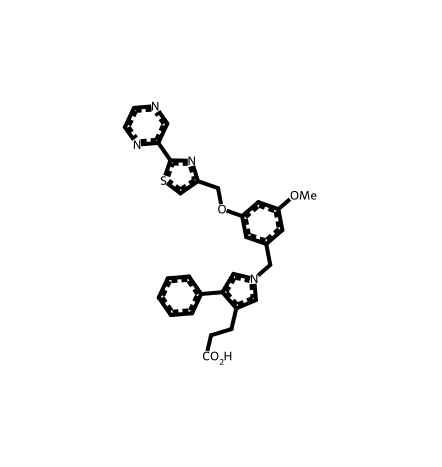 COc1cc(Cn2cc(CCC(=O)O)c(-c3ccccc3)c2)cc(OCc2csc(-c3cnccn3)n2)c1